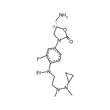 CCN(CCN(C)N(C)C1CC1)c1ccc(N2C[C@H](CN)OC2=O)cc1F